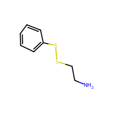 NCCSSc1ccccc1